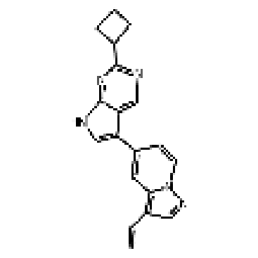 C=Cc1cnn2ccc(-c3c[nH]c4nc(C5CCC5)ncc34)cc12